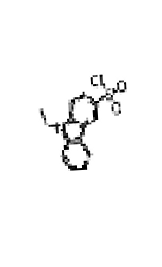 CCn1c2ccccc2c2cc(S(=O)(=O)Cl)ccc21